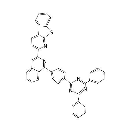 c1ccc(-c2nc(-c3ccccc3)nc(-c3ccc(-c4nc(-c5ccc6c(n5)sc5ccccc56)cc5ccccc45)cc3)n2)cc1